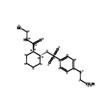 CCOC(=O)CSc1ccc(S(=O)(=O)C[C@@H]2CCCC[C@H]2C(=O)NCC#N)cc1